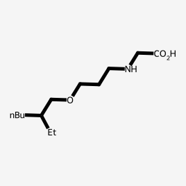 CCCCC(CC)COCCCNCC(=O)O